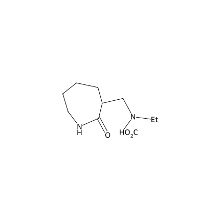 CCN(CC1CCCCNC1=O)C(=O)O